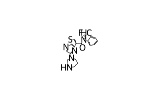 O=C(Nc1ccccc1C(F)(F)F)c1csc2ncc(N3CCCNCC3)nc12